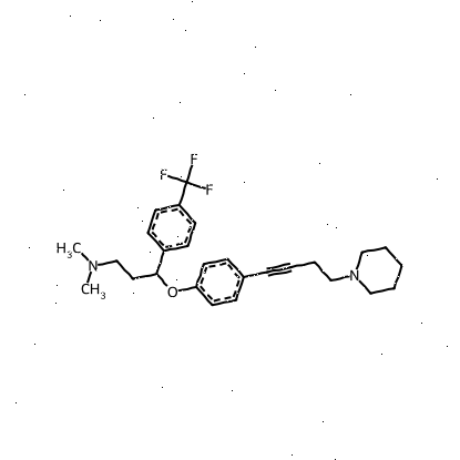 CN(C)CCC(Oc1ccc(C#CCCN2CCCCC2)cc1)c1ccc(C(F)(F)F)cc1